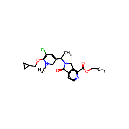 CCOC(=O)c1nccc2c1CN(C(C)C1=CC(Cl)=C(OCC3CC3)N(C)C1)C2=O